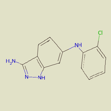 Nc1n[nH]c2cc(Nc3ccccc3Cl)ccc12